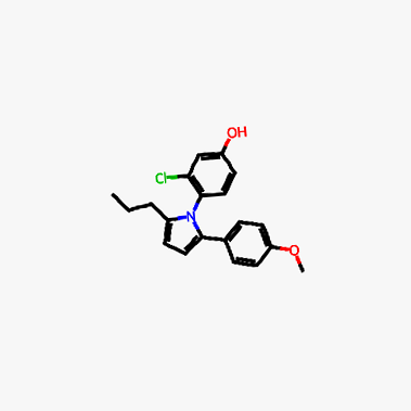 CCCc1ccc(-c2ccc(OC)cc2)n1-c1ccc(O)cc1Cl